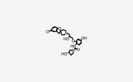 O=C(Nc1ccc(O)cc1OC[C@H](O)CN1CCC2(CC1)Cc1cc(Cl)ccc1O2)N1CC[C@H](O)C1